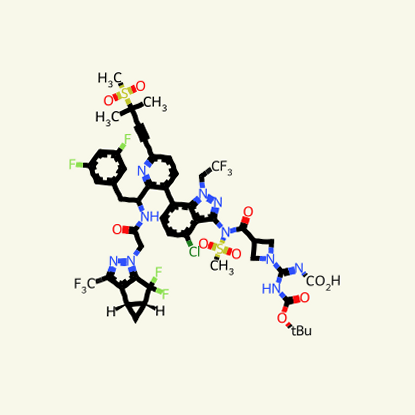 CC(C)(C)OC(=O)N/C(=N\C(=O)O)N1CC(C(=O)N(c2nn(CC(F)(F)F)c3c(-c4ccc(C#CC(C)(C)S(C)(=O)=O)nc4C(Cc4cc(F)cc(F)c4)NC(=O)Cn4nc(C(F)(F)F)c5c4C(F)(F)[C@@H]4C[C@H]54)ccc(Cl)c23)S(C)(=O)=O)C1